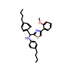 CCCCc1ccc(NC(c2ccc(CCCC)cc2)c2nc(-c3ccccc3OC)cs2)cc1